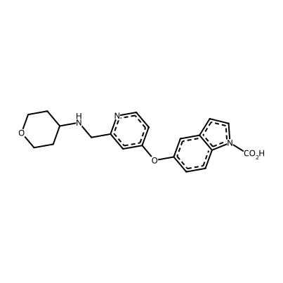 O=C(O)n1ccc2cc(Oc3ccnc(CNC4CCOCC4)c3)ccc21